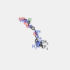 Cc1nc(N[C@H](C)c2cc(N)cc(C(F)(F)F)c2)c2cc(C3CCN(CC(=O)NCCC4CCC5(CC4)CCN(C(=O)c4ccc(Cl)c(N6CCC(O)NC6=O)c4)CC5)CC3)ccc2n1